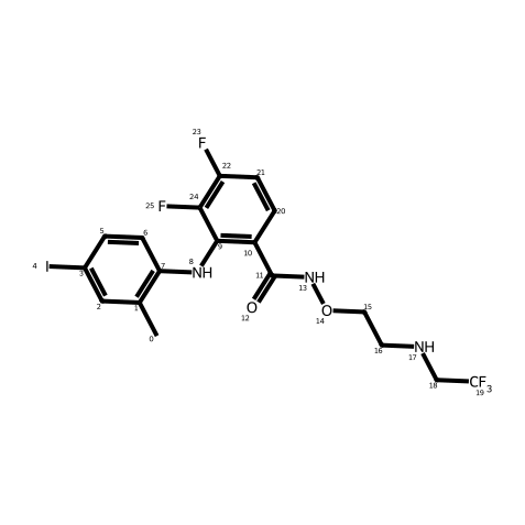 Cc1cc(I)ccc1Nc1c(C(=O)NOCCNCC(F)(F)F)ccc(F)c1F